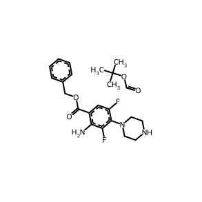 CC(C)(C)OC=O.Nc1c(C(=O)OCc2ccccc2)cc(F)c(N2CCNCC2)c1F